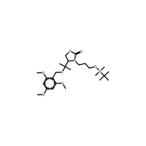 COc1cc(OC)c(CSC(C)(C)C2COC(=O)N2CCCO[Si](C)(C)C(C)(C)C)c(OC)c1